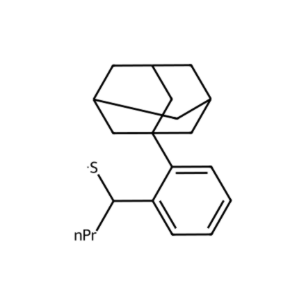 CCCC([S])c1ccccc1C12CC3CC(CC(C3)C1)C2